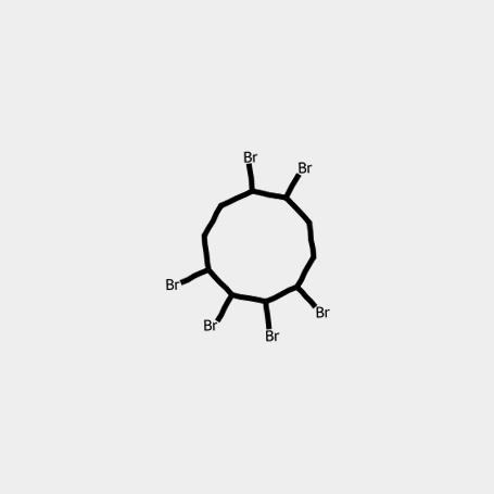 BrC1CCC(Br)C(Br)C(Br)C(Br)CCC1Br